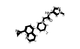 C[C@@H]1C[C@H](c2ccc(C3C=N3)c3ncccc23)CN(CC(=O)Nc2cnn(C)c2)C1